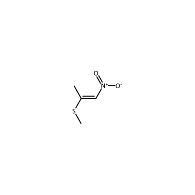 CSC(C)=C[N+](=O)[O-]